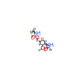 COc1cc(COC(=O)NC(C)=S)ccc1NC(C)=O